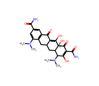 CN(C)c1cc(C(N)=O)cc2c1CC1CC3C(N(C)C)C(O)=C(C(N)=O)C(=O)[C@@]3(O)C(O)=C1C2=O